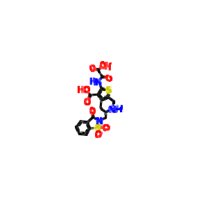 O=C(O)C(=O)Nc1sc2c(c1C(=O)O)CC(CN1C(=O)c3ccccc3S1(=O)=O)NC2